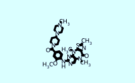 COc1cc(C(=O)N2CCC(N3CCN(C)CC3)CC2)ccc1Nc1ncc2c(n1)N(C)c1sc(C)nc1C(=O)N2C